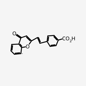 O=C(O)c1ccc(C=Cc2cc(=O)c3ccc[c]c3o2)cc1